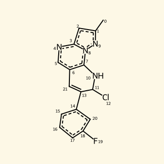 Cc1cc2ncc3c(n2n1)NC(Cl)C(c1cccc(F)c1)=C3